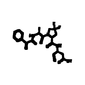 C=C(N[C@@H](C)C(=O)N1CC(F)(F)C[C@H]1C(=O)N[C@H](C=O)CC(=O)O)C(=O)c1ccccc1